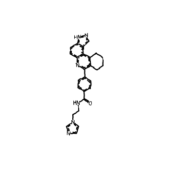 O=C(NCCn1ccnc1)c1ccc(-c2nc3ccc4[nH]ncc4c3c3c2CCCC3)cc1